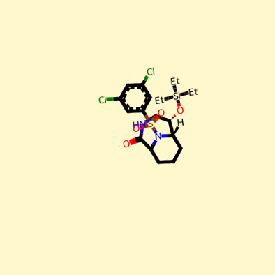 CC[Si](CC)(CC)O[C@H]1CNC(=O)C2CCC[C@@H]1N2S(=O)(=O)c1cc(Cl)cc(Cl)c1